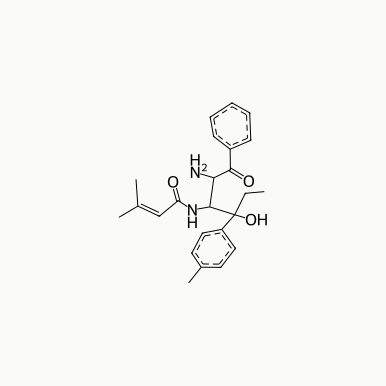 CCC(O)(c1ccc(C)cc1)C(NC(=O)C=C(C)C)C(N)C(=O)c1ccccc1